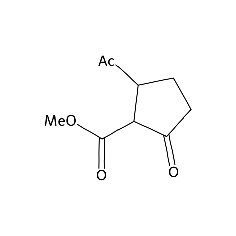 COC(=O)C1C(=O)CCC1C(C)=O